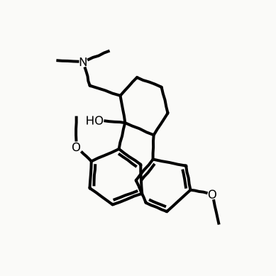 COc1cccc(C2CCCC(CN(C)C)C2(O)c2ccccc2OC)c1